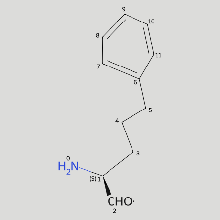 N[C@H]([C]=O)CCCc1ccccc1